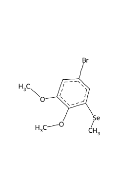 COc1cc(Br)cc([Se]C)c1OC